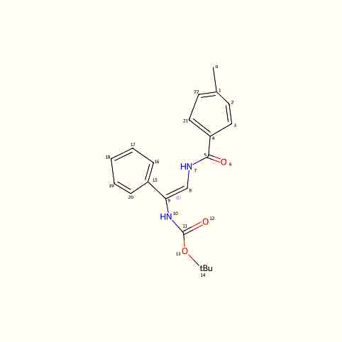 Cc1ccc(C(=O)N/C=C(/NC(=O)OC(C)(C)C)c2ccccc2)cc1